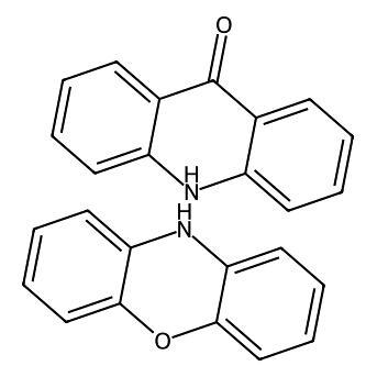 O=c1c2ccccc2[nH]c2ccccc12.c1ccc2c(c1)Nc1ccccc1O2